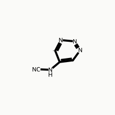 N#CNc1[c]nnnc1